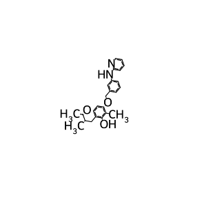 CC(=O)C(C)Cc1ccc(OCc2cccc(Nc3ccccn3)c2)c(C)c1O